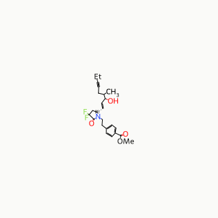 CCC#CCC(C)C(O)C=C[C@H]1CC(F)(F)C(=O)N1CCc1ccc(C(=O)OC)cc1